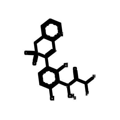 CN(C(=O)C(F)F)c1c(Cl)ccc(C2=[C]c3ncccc3CS2(=O)=O)c1Cl